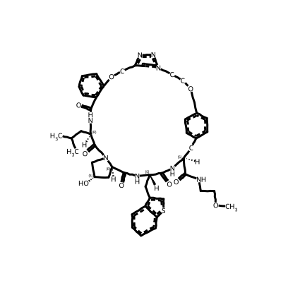 COCCNC(=O)[C@@H]1Cc2ccc(cc2)OCCn2cc(nn2)COc2ccccc2C(=O)N[C@H](CC(C)C)C(=O)N2C[C@@H](O)C[C@@H]2C(=O)N[C@@H](Cc2csc3ccccc23)C(=O)N1